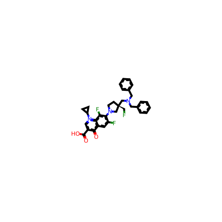 O=C(O)c1cn(C2CC2)c2c(F)c(N3CC[C@](CF)(CN(Cc4ccccc4)Cc4ccccc4)C3)c(F)cc2c1=O